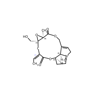 C/C=C1/C[C@@]2(CO)O[C@@]2(C)C(=O)OCC2=CC[N+]3([O-])CC[C@@H](OC1=O)[C@@H]23